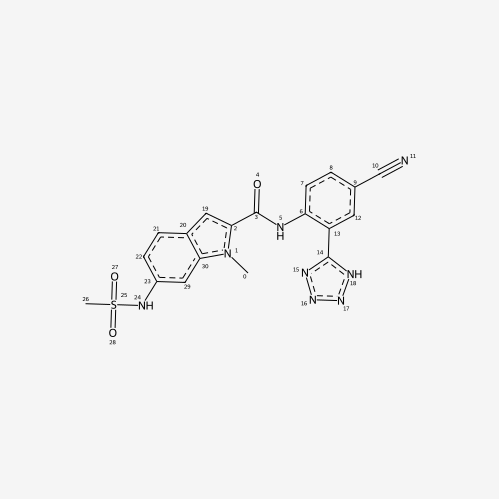 Cn1c(C(=O)Nc2ccc(C#N)cc2-c2nnn[nH]2)cc2ccc(NS(C)(=O)=O)cc21